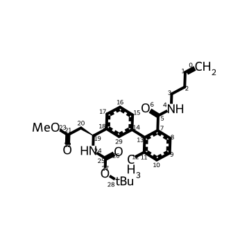 C=CCCNC(=O)c1cccc(C)c1-c1cccc([C@H](CC(=O)OC)NC(=O)OC(C)(C)C)c1